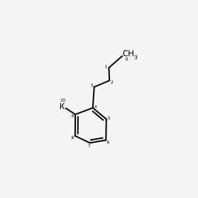 CCCCc1cccc[c]1[K]